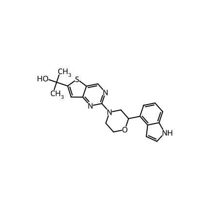 CC(C)(O)c1cc2nc(N3CCOC(c4cccc5[nH]ccc45)C3)ncc2s1